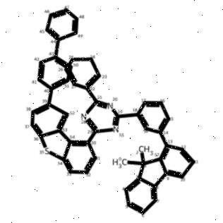 CC1(C)c2ccccc2-c2cccc(-c3cccc(-c4nc(C5=CCCC=C5)nc(-c5cccc6sc7ccc(-c8ccc(-c9ccccc9)cc8)cc7c56)n4)c3)c21